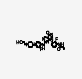 C=CC(=O)Nc1cccc(-n2cnc(=O)c3cnc(Nc4ccc(N5CCN(CCO)CC5)cc4F)nc32)c1F